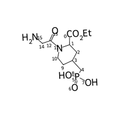 CCOC(=O)C1CC(CP(=O)(O)O)CCN1C(=O)CN